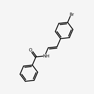 O=C(N/C=C/c1ccc(Br)cc1)c1ccccc1